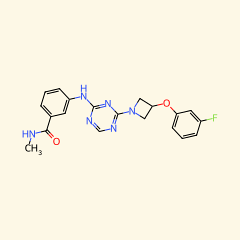 CNC(=O)c1cccc(Nc2ncnc(N3CC(Oc4cccc(F)c4)C3)n2)c1